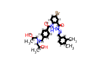 Cc1ccc(C=NNC(=O)c2cc(Br)ccc2NC(=O)c2ccc(CN(CC(C)O)CC(C)O)cc2)cc1C